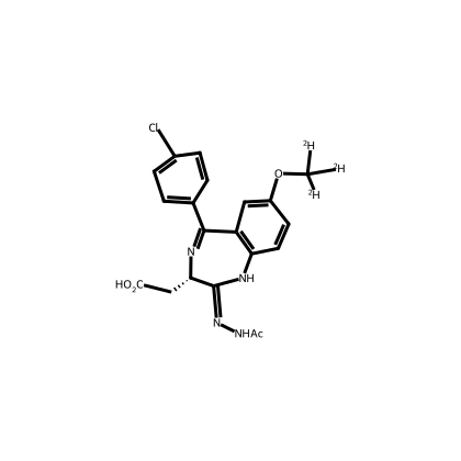 [2H]C([2H])([2H])Oc1ccc2c(c1)C(c1ccc(Cl)cc1)=N[C@@H](CC(=O)O)/C(=N/NC(C)=O)N2